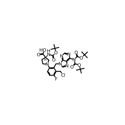 CC(C)(C)OC(=O)N[C@]1(C(=O)O)CCN(c2ccc(F)c(CCl)c2Cn2cnc3c(N(C(=O)OC(C)(C)C)C(=O)OC(C)(C)C)ncnc32)C1